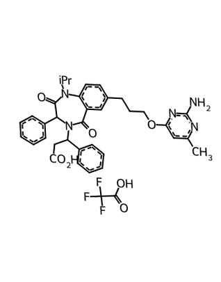 Cc1cc(OCCCc2ccc3c(c2)C(=O)N(C(CC(=O)O)c2ccccc2)C(c2ccccc2)C(=O)N3C(C)C)nc(N)n1.O=C(O)C(F)(F)F